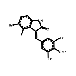 COc1c(C(C)C)cc(C=C2C(=O)Nc3ccc(Br)c(C)c32)cc1C(C)C